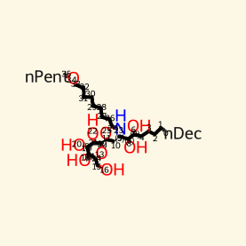 CCCCCCCCCCCCCC[C@@H](O)[C@@H](O)[C@H](CC[C@H]1OC(CO)[C@H](O)[C@H](O)C1O)NC(=O)CCCCCCCCOCCCCC